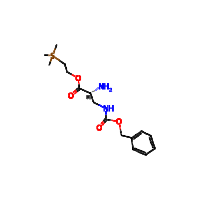 CS(C)(C)CCOC(=O)[C@H](N)CNC(=O)OCc1ccccc1